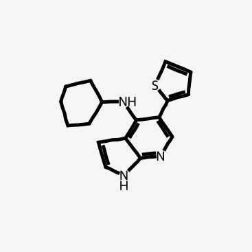 c1csc(-c2cnc3[nH]ccc3c2NC2CCCCC2)c1